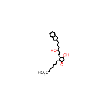 O=C(O)CCCC=CC[C@H]1C(=O)C[C@@H](O)[C@@H]1C=CC(O)CCCC1Cc2ccccc2C1